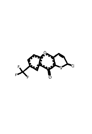 O=c1c2c(oc3ccc(C(F)(F)F)cc13)C=CC(Cl)S2